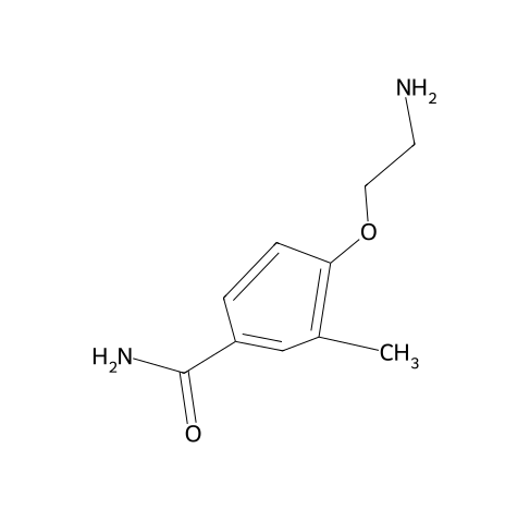 Cc1cc(C(N)=O)ccc1OCCN